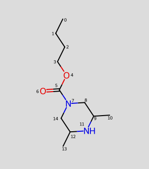 CCCCOC(=O)N1CC(C)NC(C)C1